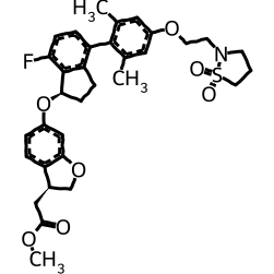 COC(=O)C[C@@H]1COc2cc(O[C@@H]3CCc4c(-c5c(C)cc(OCCN6CCCS6(=O)=O)cc5C)ccc(F)c43)ccc21